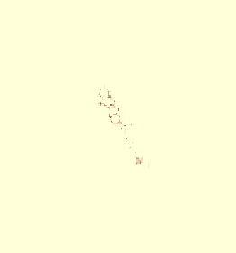 O=C(CCCCCNC(=O)c1cccc(Nc2nc3ccccc3c(=O)[nH]2)c1)NO